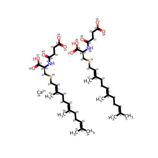 CC(C)=CCC/C(C)=C/CC/C(C)=C/CSC[C@H](NC(=O)CCC(=O)[O-])C(=O)O.CC(C)=CCC/C(C)=C/CC/C(C)=C/CSC[C@H](NC(=O)CCC(=O)[O-])C(=O)O.[Ca+2]